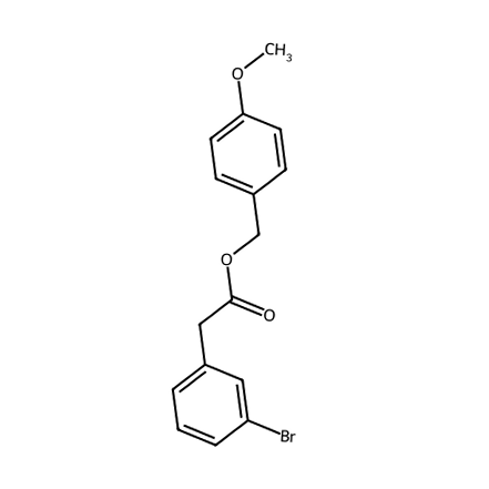 COc1ccc(COC(=O)Cc2cccc(Br)c2)cc1